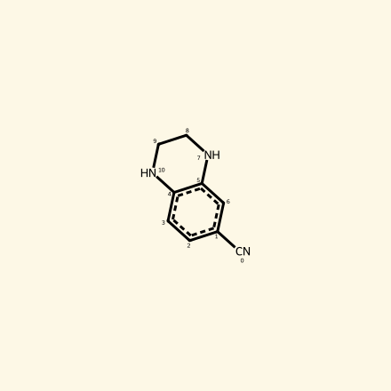 N#Cc1ccc2c(c1)NCCN2